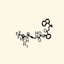 C[C@H]1C2(NC(=O)C#CCNC(=O)C(=O)NCc3ccccc3C(=O)CCC3(c4cccc5ccccc45)CC3)CC1(C(F)(F)F)C2